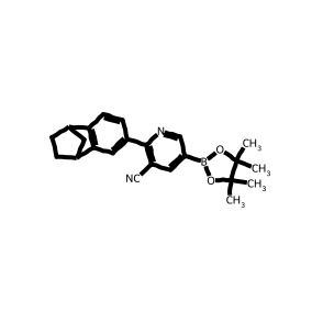 CC1(C)OB(c2cnc(-c3ccc4c(c3)C3CCC4C3)c(C#N)c2)OC1(C)C